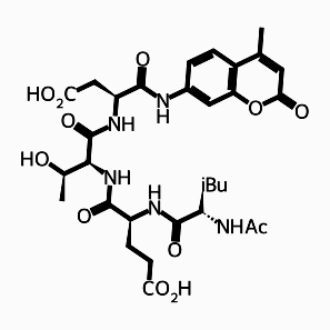 CC[C@H](C)[C@H](NC(C)=O)C(=O)N[C@@H](CCC(=O)O)C(=O)N[C@H](C(=O)N[C@@H](CC(=O)O)C(=O)Nc1ccc2c(C)cc(=O)oc2c1)[C@@H](C)O